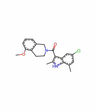 COc1cccc2c1CCN(C(=O)c1c(C)[nH]c3c(C)cc(Cl)cc13)C2